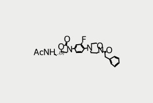 CC(=O)NC[C@H]1CN(c2ccc(N3CCON(C(=O)Cc4ccccc4)CC3)c(F)c2)C(=O)O1